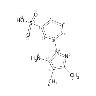 Cc1nn(-c2cccc(S(=O)(=O)O)c2)c(N)c1C